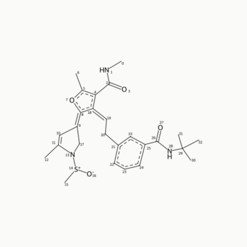 CNC(=O)c1c(C)oc(=C2\C=C(C)N([S+](C)[O-])C2)/c1=C\Cc1cccc(C(=O)NC(C)(C)C)c1